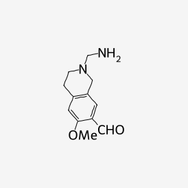 COc1cc2c(cc1C=O)CN(CN)CC2